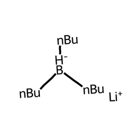 CCCC[BH-](CCCC)CCCC.[Li+]